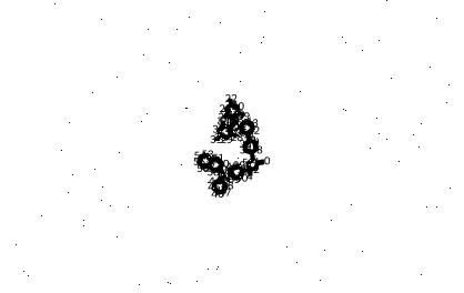 C=CCC(C)(CCc1ccc(-c2cccc(B(c3c(C)cc(C)cc3C)c3c(C)cc(C)cc3C)c2)cc1)c1ccc(N(c2ccccc2)c2ccc3ccccc3c2)cc1